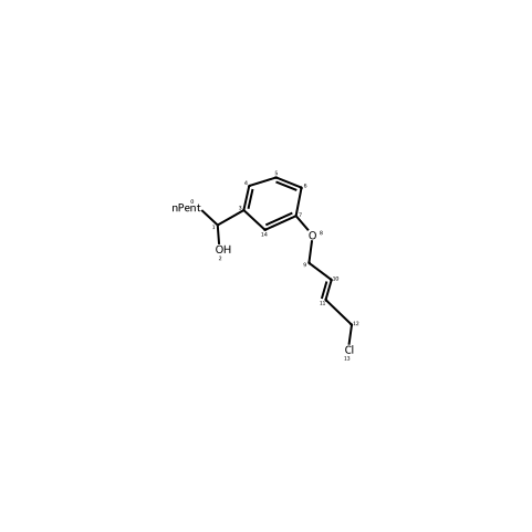 CCCCCC(O)c1cccc(OCC=CCCl)c1